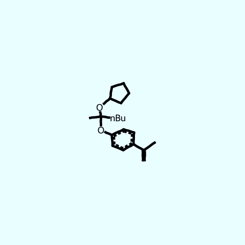 C=C(C)c1ccc(OC(C)(CCCC)OC2CCCC2)cc1